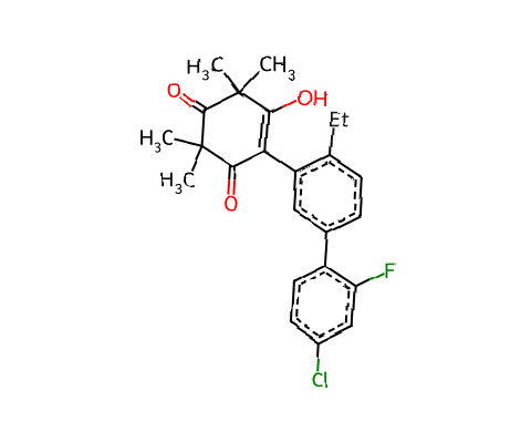 CCc1ccc(-c2ccc(Cl)cc2F)cc1C1=C(O)C(C)(C)C(=O)C(C)(C)C1=O